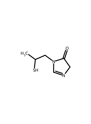 CC(S)CN1C=NCC1=O